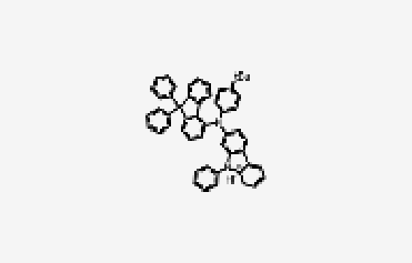 CC(C)(C)c1ccc(N(c2ccc3c(c2)N(c2ccccc2)[C@@H]2CC=CC=C32)c2cccc3c2-c2ccccc2C3(c2ccccc2)c2ccccc2)cc1